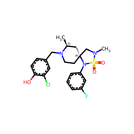 C[C@H]1C[C@]2(CCN1Cc1ccc(O)c(Cl)c1)CN(C)S(=O)(=O)N2c1cccc(F)c1